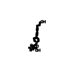 CC(CCN1CC=C(C#CC#CCCCO)CC1)(C(=O)O)S(C)(=O)=O